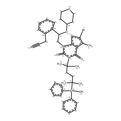 Cc1c(Br)sc2c1c(=O)n(C(C)(C)CCC(C)(C)[Si](O)(c1ccccc1)c1ccccc1)c(=O)n2CC(OC1CCOCC1)c1ccccc1CC#N